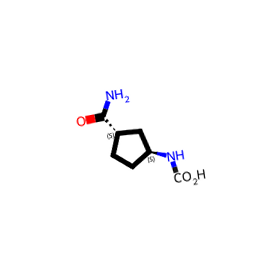 NC(=O)[C@H]1CC[C@H](NC(=O)O)C1